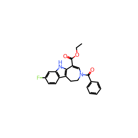 CCOC(=O)C1=CN(C(=O)c2ccccc2)CCc2c1[nH]c1cc(F)ccc21